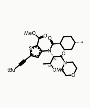 COC(=O)c1sc(C#CC(C)(C)C)cc1N(C(=O)[C@H]1CC[C@H](C)CC1)[C@H](C(=O)N1CCOCC1)[C@H](C)OC